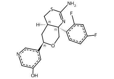 NC1=N[C@@]2(c3ccc(F)cc3F)CO[C@@H](c3cncc(O)c3)C[C@H]2CS1